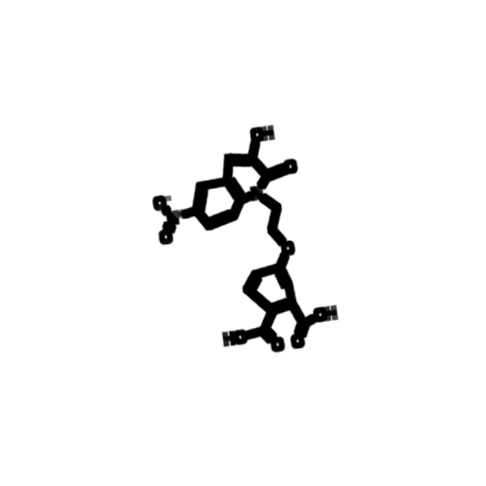 O=C(O)c1ccc(OCCn2c(=O)c(O)cc3cc([N+](=O)[O-])ccc32)cc1C(=O)O